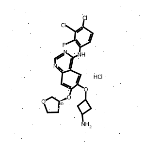 Cl.NC1CC(Oc2cc3c(Nc4ccc(Cl)c(Cl)c4F)ncnc3cc2O[C@H]2CCOC2)C1